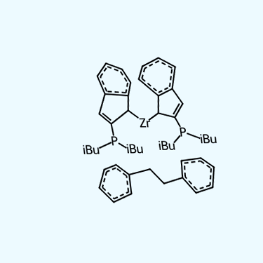 CCC(C)P(C1=Cc2ccccc2[CH]1[Zr][CH]1C(P(C(C)CC)C(C)CC)=Cc2ccccc21)C(C)CC.c1ccc(CCc2ccccc2)cc1